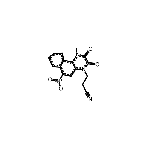 N#CCCn1c(=O)c(=O)[nH]c2c3ccccc3c([N+](=O)[O-])cc21